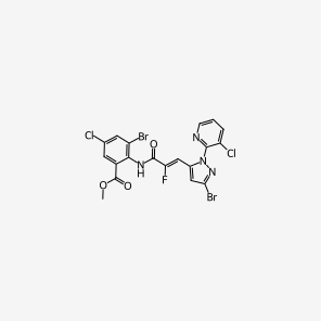 COC(=O)c1cc(Cl)cc(Br)c1NC(=O)C(F)=Cc1cc(Br)nn1-c1ncccc1Cl